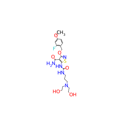 COc1ccc(COc2nsc(NC(=O)NCCCN(CCO)CCO)c2C(N)=O)c(F)c1